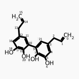 C=CCc1cc(O)c(O)c(-c2cc(CC=C)cc(O)c2O)c1